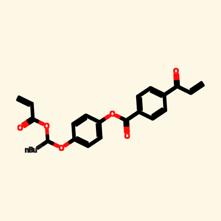 C=CC(=O)OC(CCCC)Oc1ccc(OC(=O)c2ccc(C(=O)C=C)cc2)cc1